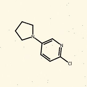 Clc1ccc(N2CCCC2)cn1